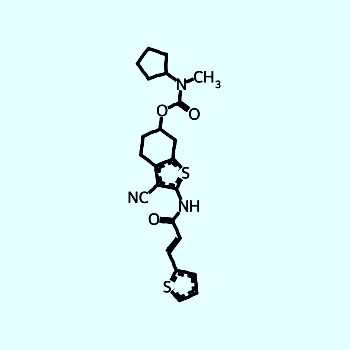 CN(C(=O)OC1CCc2c(sc(NC(=O)C=Cc3cccs3)c2C#N)C1)C1CCCC1